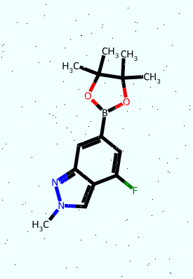 Cn1cc2c(F)cc(B3OC(C)(C)C(C)(C)O3)cc2n1